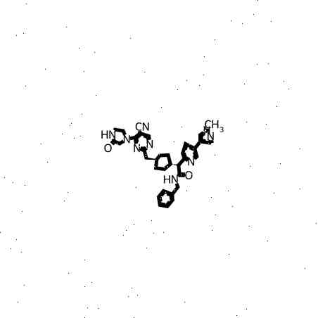 Cn1cc(-c2ccc(C(C(=O)NCc3ccccc3)[C@H]3CC[C@H](Cc4ncc(C#N)c(N5CCNC(=O)C5)n4)CC3)nc2)cn1